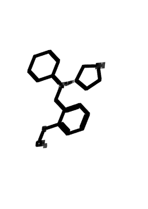 CSc1ccccc1CN(C1CCCCC1)[C@H]1CCNC1